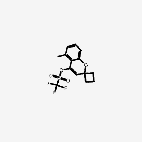 Cc1cccc2c1C(OS(=O)(=O)C(F)(F)F)=CC1(CCC1)O2